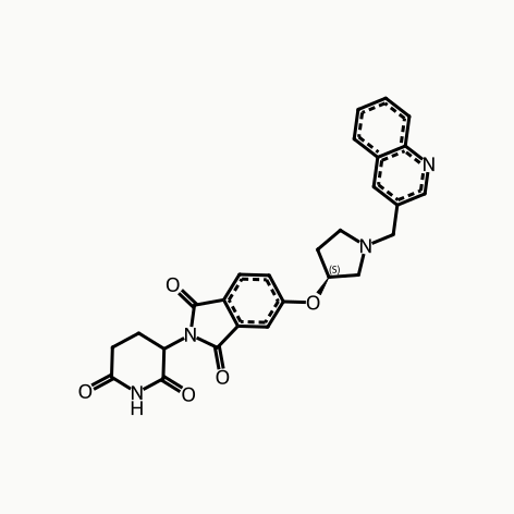 O=C1CCC(N2C(=O)c3ccc(O[C@H]4CCN(Cc5cnc6ccccc6c5)C4)cc3C2=O)C(=O)N1